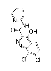 O=C(Nc1ccccn1)c1nnc2c(Cl)c(Cl)ccc2c1O